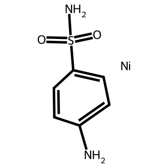 Nc1ccc(S(N)(=O)=O)cc1.[Ni]